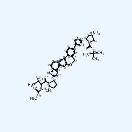 COC(=O)NC(C(=O)N1[C@@H](C)CC[C@H]1c1nc2ccc3cc4c(cc3c2[nH]1)OCc1cc(-c2cnc([C@@H]3C[C@H](C)CN3C(=O)OC(C)(C)C)[nH]2)ccc1-4)C(C)C